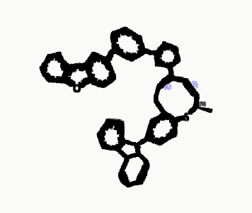 C[C@@H]1/C=C\C(c2cccc(-c3cccc(-c4ccc5oc6ccccc6c5c4)c3)c2)=C/Cc2cc(N3c4ccccc4C4C=CC=CC43)ccc2S1